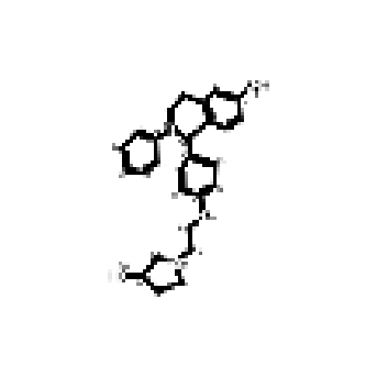 Oc1ccc2c(c1)CCN(c1ccccc1)C2c1ccc(OCCN2CCC(O)C2)cc1